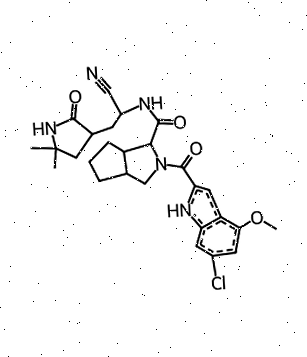 COc1cc(Cl)cc2[nH]c(C(=O)N3CC4CCCC4C3C(=O)NC(C#N)CC3CC(C)(C)NC3=O)cc12